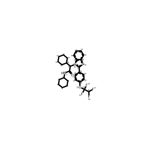 O=C(NC1CCCCC1)C(C1CCCCC1)n1c(-c2ccc(OC(F)(F)C(F)F)cc2)nc2ccccc21